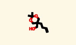 C=CCCC1(CO)COC(C)(C)OC1